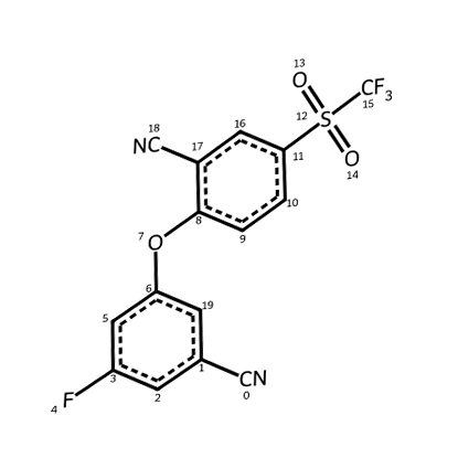 N#Cc1cc(F)cc(Oc2ccc(S(=O)(=O)C(F)(F)F)cc2C#N)c1